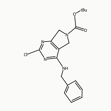 CC(C)(C)OC(=O)N1Cc2nc(Cl)nc(NCc3ccccc3)c2C1